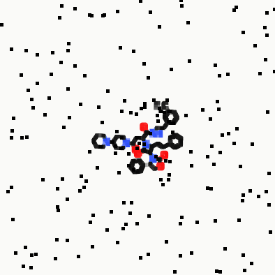 O=C(NCCc1cccc(C(F)(F)F)c1)C(CC(=O)N1CCC(N2CCCCC2)CC1)N1C(=O)C(N2C(=O)OC[C@@H]2c2ccccc2)C1C=Cc1ccccc1